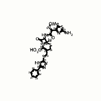 CON=C(C(=O)N[C@@H]1C(=O)N2C(C(=O)O)=C(CSc3nnc(-c4ccccc4)[nH]3)CS[C@@H]12)c1csc(N)n1